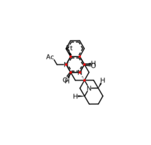 CCC1C[C@@H]2CC(N3[C@@H]4CCC[C@H]3C[C@@H](n3c(=O)c5ccccc5n(CC(C)=O)c3=O)C4)C[C@H](C1)C2